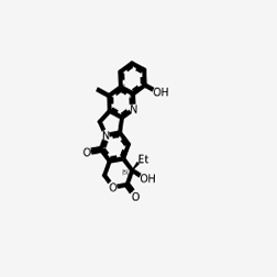 CC[C@@]1(O)C(=O)OCc2c1cc1n(c2=O)Cc2c-1nc1c(O)cccc1c2C